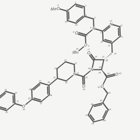 COc1ccc(CN(C(=O)OC(C)(C)C)c2cc(C[C@H]3C(=O)N(C(=O)N4CCCC(c5ccc(Oc6ccccc6)cc5)C4)[C@@H]3C(=O)OCc3ccccc3)ccn2)cc1